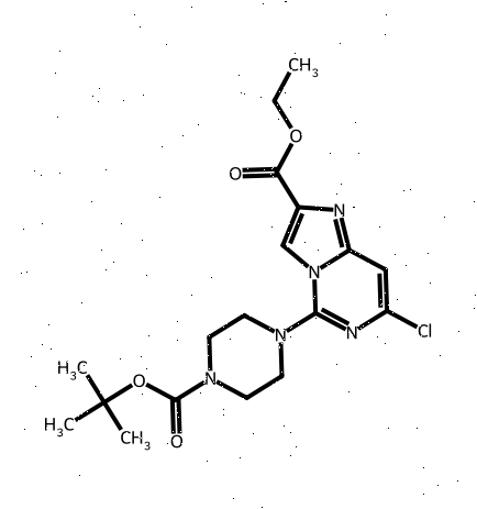 CCOC(=O)c1cn2c(N3CCN(C(=O)OC(C)(C)C)CC3)nc(Cl)cc2n1